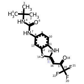 CC(C)(C)NC(=O)Nc1ccc2c(c1)S/C(=C/C(=O)C(F)(F)F)N2